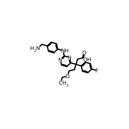 CCOCCC(CC(=O)O)(c1ccc(F)cc1)c1ccnc(Nc2ccc(CN)cc2)n1